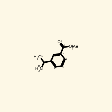 COC(=O)c1cccc(C(C)N)c1